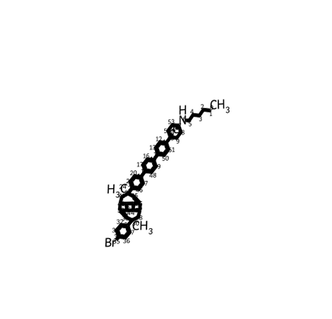 CCCCCCNC12CCC(c3ccc(-c4ccc(-c5ccc(C6(C)C=C7C8CC(C)(c9ccc(Br)cc9)C=C9C(C6)C6C7C8C96)cc5)cc4)cc3)(CC1)CC2